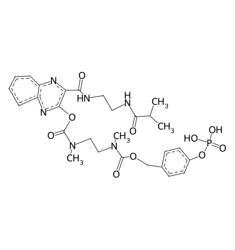 CC(C)C(=O)NCCNC(=O)c1nc2ccccc2nc1OC(=O)N(C)CCN(C)C(=O)OCc1ccc(OP(=O)(O)O)cc1